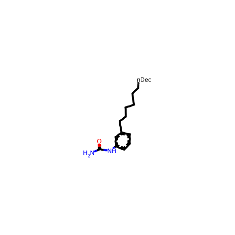 CCCCCCCCCCCCCCCCc1cccc(NC(N)=O)c1